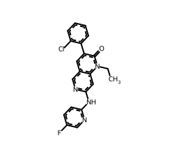 CCn1c(=O)c(-c2ccccc2Cl)cc2cnc(Nc3ccc(F)cn3)cc21